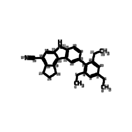 CCc1cc(CC)c(-c2ccc3[nH]c4cc(C#N)c5c(c4c3c2)CCC5)c(CC)c1